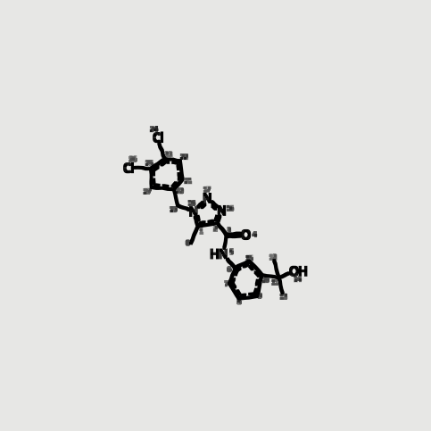 Cc1c(C(=O)Nc2cccc(C(C)(C)O)c2)nnn1Cc1ccc(Cl)c(Cl)c1